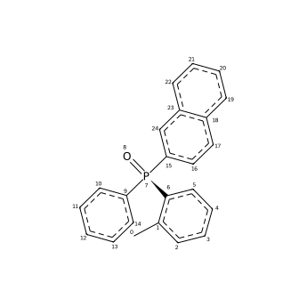 Cc1ccccc1[P@](=O)(c1ccccc1)c1ccc2ccccc2c1